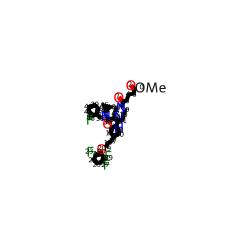 COC(=O)CCCC(=O)N1CC2CC(c3ccc(CCCOc4c(F)ccc(F)c4F)cc3)=C(C(=O)N(Cc3ccccc3F)C3CC3)C(C1)N2